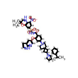 CC(C)c1ccccc1[C@@H]1CCCN1C1CC2(CCN(c3ccc(C(=O)NS(=O)(=O)c4cc5c(c([N+](=O)[O-])c4)NCC(C)(C)O5)c(Oc4cnc5[nH]ccc5c4)c3)CC2)C1